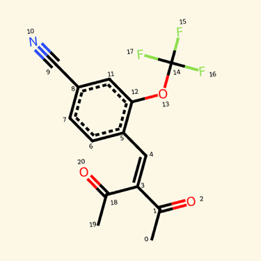 CC(=O)C(=Cc1ccc(C#N)cc1OC(F)(F)F)C(C)=O